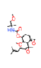 COCC(C)(C)NC(=O)OC1CC[C@]2(CO2)C(C2(C)OC2CC=C(C)C)C1OC